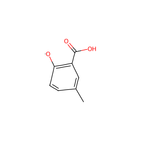 Cc1ccc([O])c(C(=O)O)c1